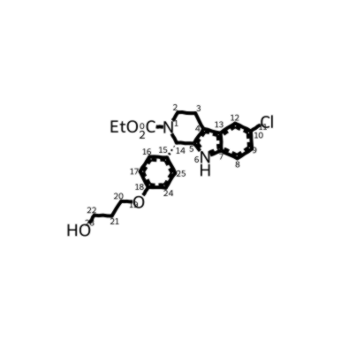 CCOC(=O)N1CCc2c([nH]c3ccc(Cl)cc23)[C@@H]1c1ccc(OCCCO)cc1